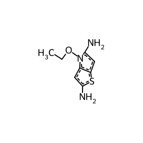 CCOn1c(N)cc2sc(N)cc21